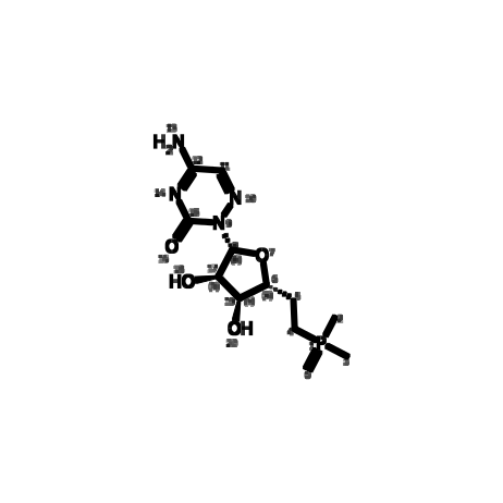 C=P(C)(C)CC[C@H]1O[C@@H](n2ncc(N)nc2=O)[C@H](O)[C@@H]1O